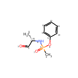 C[C@@H](C=O)NP(C)(=O)Oc1ccccc1